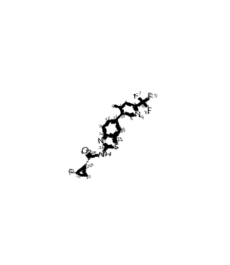 Cc1cc(C(F)(F)F)ncc1-c1ccc2nc(NC(=O)[C@@H]3C[C@@H]3F)sc2c1